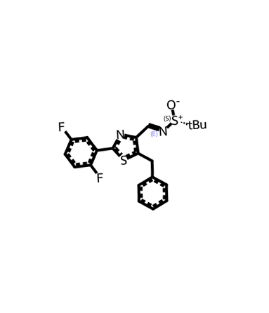 CC(C)(C)[S@@+]([O-])/N=C/c1nc(-c2cc(F)ccc2F)sc1Cc1ccccc1